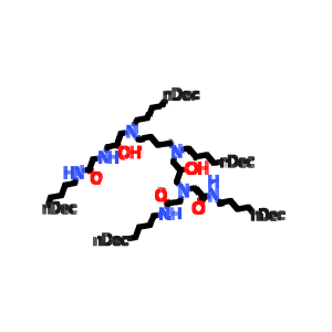 CCCCCCCCCCCCCCNC(=O)CNCC(O)CN(CCCCCCCCCCCCCC)CCCCN(CCCCCCCCCCCCCC)CC(O)CN(CC(=O)NCCCCCCCCCCCCCC)CC(=O)NCCCCCCCCCCCCCC